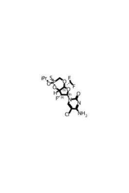 CC(C)OP1(=S)CO[C@@]2(C(F)F)O[C@@H](n3cc(Cl)c(N)nc3=O)[C@H](F)[C@@H]2O1